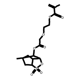 C=C(C)C(=O)SCCOCC(=O)OC1C2OS(=O)(=O)C3CC1(C)CC23